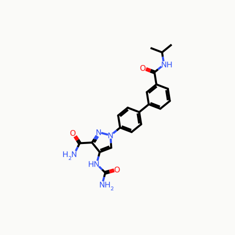 CC(C)NC(=O)c1cccc(-c2ccc(-n3cc(NC(N)=O)c(C(N)=O)n3)cc2)c1